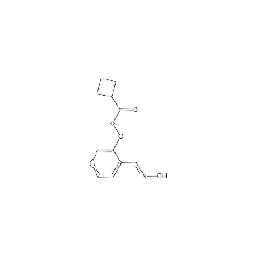 O=C(OOc1ccccc1/C=N/O)C1CCC1